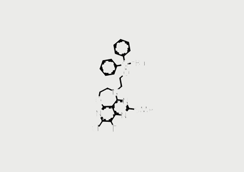 CSc1nc2c3c(nc(Cl)c(F)c3n1)OCCN2CCO[Si](c1ccccc1)(c1ccccc1)C(C)(C)C